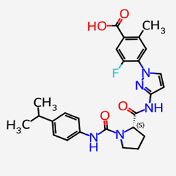 Cc1cc(-n2ccc(NC(=O)[C@@H]3CCCN3C(=O)Nc3ccc(C(C)C)cc3)n2)c(F)cc1C(=O)O